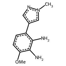 COc1ccc(-c2cnn(C)c2)c(N)c1N